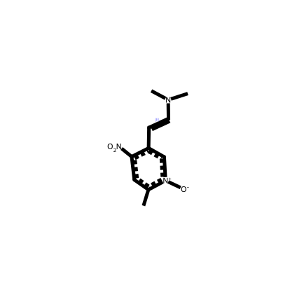 Cc1cc([N+](=O)[O-])c(/C=C/N(C)C)c[n+]1[O-]